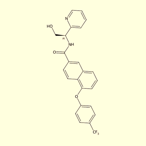 O=C(N[C@@H](CO)c1ccccn1)c1ccc2c(Oc3ccc(C(F)(F)F)cc3)cccc2c1